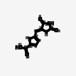 O=C1NC(=O)C(=Cc2ccc(C(=O)O)s2)S1